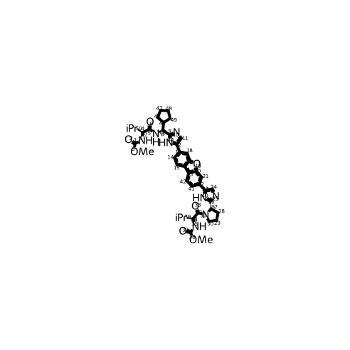 COC(=O)N[C@H](C(=O)N[C@H](c1ncc(-c2ccc3c(c2)oc2cc(-c4cnc([C@@H]5CCCN5C(=O)[C@@H](NC(=O)OC)C(C)C)[nH]4)ccc23)[nH]1)C1CCCC1)C(C)C